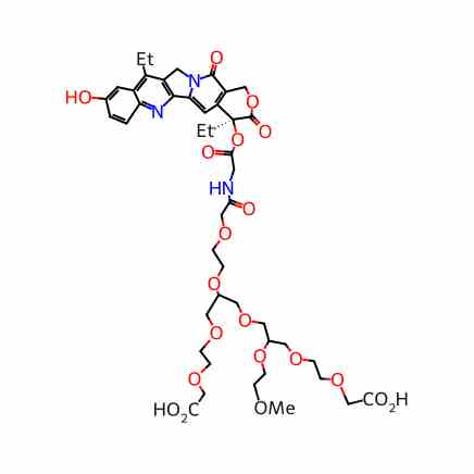 CCc1c2c(nc3ccc(O)cc13)-c1cc3c(c(=O)n1C2)COC(=O)[C@@]3(CC)OC(=O)CNC(=O)COCCOC(COCCOCC(=O)O)COCC(COCCOCC(=O)O)OCCOC